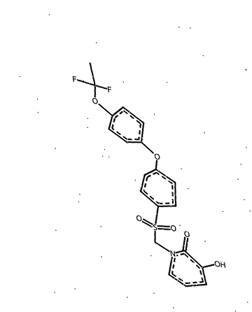 CC(F)(F)Oc1ccc(Oc2ccc(S(=O)(=O)Cn3cccc(O)c3=O)cc2)cc1